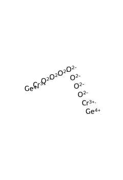 [Cr+3].[Cr+3].[Ge+4].[Ge+4].[O-2].[O-2].[O-2].[O-2].[O-2].[O-2].[O-2]